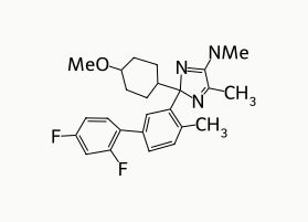 CNC1=NC(c2cc(-c3ccc(F)cc3F)ccc2C)(C2CCC(OC)CC2)N=C1C